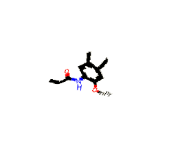 C=CC(=O)Nc1cc(C)c(C)cc1OCCC